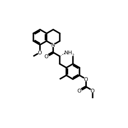 COC(=O)Oc1cc(C)c(C[C@@H](N)C(=O)N2CCCc3cccc(OC)c32)c(C)c1